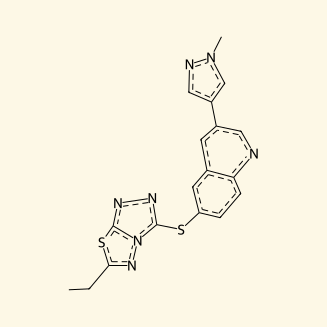 CCc1nn2c(Sc3ccc4ncc(-c5cnn(C)c5)cc4c3)nnc2s1